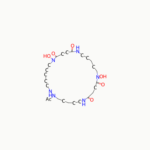 CC(=O)N1CCCCCNC(=O)CCC(=O)N(O)CCCCCNC(=O)CCC(=O)N(O)CCCCCN1